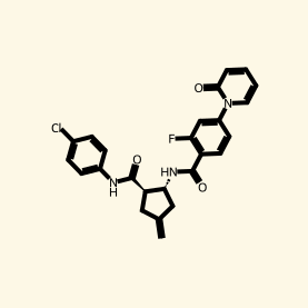 C=C1C[C@@H](NC(=O)c2ccc(-n3ccccc3=O)cc2F)[C@H](C(=O)Nc2ccc(Cl)cc2)C1